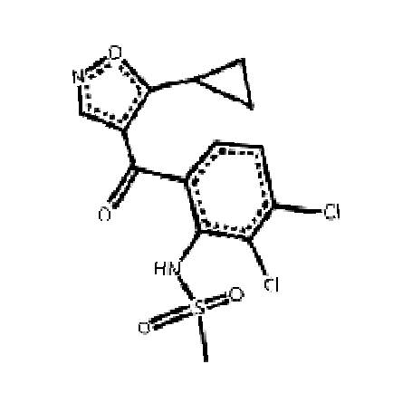 CS(=O)(=O)Nc1c(C(=O)c2cnoc2C2CC2)ccc(Cl)c1Cl